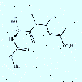 CC[C@@H](C)[C@H](NC(=O)OC(C)(C)C)C(=O)N(C)C(C=C(C)C(=O)O)C(C)C